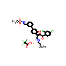 COCCNCc1c(C(=O)c2ccc(Cl)cc2Cl)oc2cc(-c3cccc(CNS(C)(=O)=O)c3)ccc12.O=C(O)C(F)(F)F